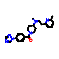 Cc1cccc(CCN(C)C2CCN(C(=O)c3ccc(-n4cncn4)cc3)CC2)n1